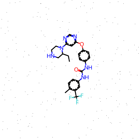 CCC1CNCCN1c1cc(Oc2ccc(NC(=O)Nc3ccc(C)c(C(F)(F)F)c3)cc2)ncn1